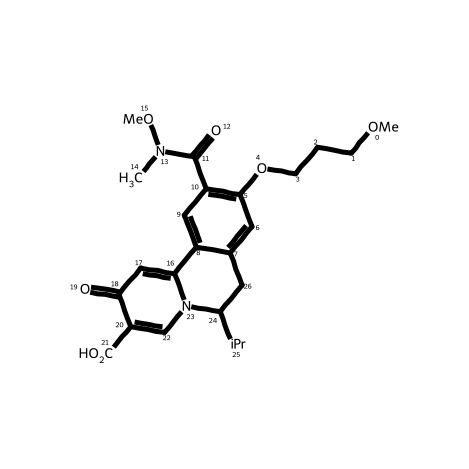 COCCCOc1cc2c(cc1C(=O)N(C)OC)-c1cc(=O)c(C(=O)O)cn1C(C(C)C)C2